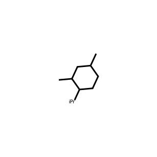 C[C]1CC(C)CCC1C(C)C